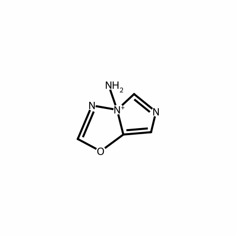 N[N+]12C=NC=C1OC=N2